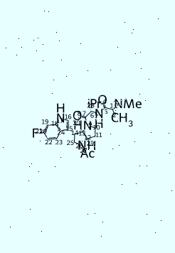 CN[C@@H](C)C(=O)N[C@H](C(=O)N1CC[C@@H]2[C@H]1[C@@H](c1c[nH]c3cc(F)ccc13)CN2C(C)=O)C(C)C